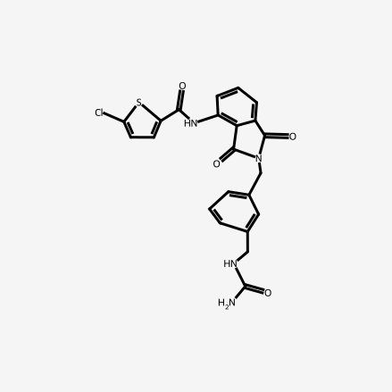 NC(=O)NCc1cccc(CN2C(=O)c3cccc(NC(=O)c4ccc(Cl)s4)c3C2=O)c1